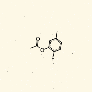 CC(=O)Oc1cc(C)ccc1F